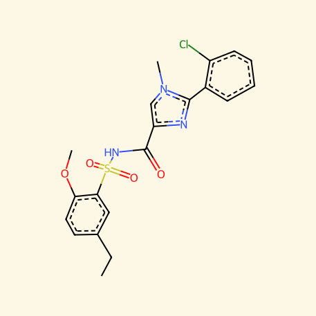 CCc1ccc(OC)c(S(=O)(=O)NC(=O)c2cn(C)c(-c3ccccc3Cl)n2)c1